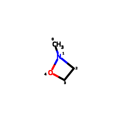 CN1CCO1